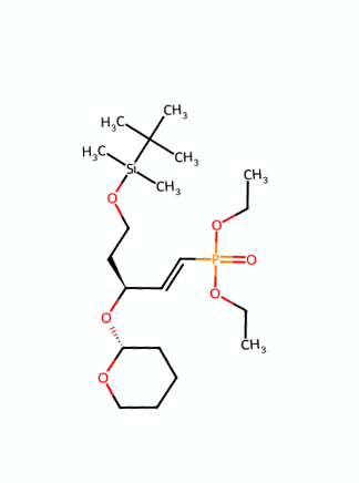 CCOP(=O)(/C=C/[C@H](CCO[Si](C)(C)C(C)(C)C)O[C@@H]1CCCCO1)OCC